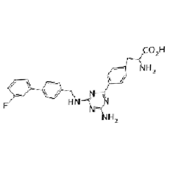 Nc1nc(NCc2ccc(-c3cccc(F)c3)cc2)nc(-c2ccc(CC(N)C(=O)O)cc2)n1